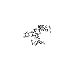 CC(C)(C)OC(=O)O[C@@]12CN(Cc3ccccc3)C[C@@H]1CN(C(=O)OC(C)(C)C)C2